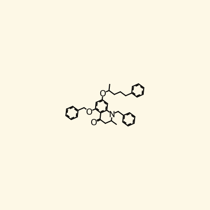 CC(CCCc1ccccc1)Oc1cc(OCc2ccccc2)c2c(c1)N(Cc1ccccc1)C(C)CC2=O